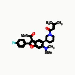 CNC(=O)c1c(-c2ccc(F)cc2)oc2cc(N(C)SC)c([C@@H]3CCCN(C(=O)C=C(C)C)C3)cc12